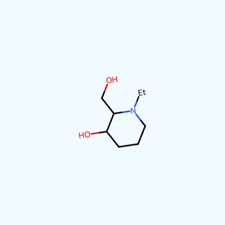 CCN1CCCC(O)C1CO